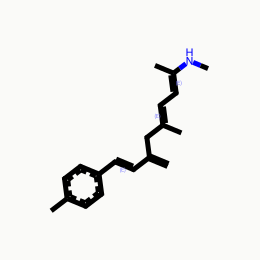 C=C(/C=C/c1ccc(C)cc1)C/C(C)=C/C=C(\C)NC